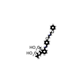 O=C(O)Cn1cc(CC2(CC(=O)O)CC2)c2cccc(/C=C/c3ccc(OC/C=C/COc4ccccc4)cc3)c21